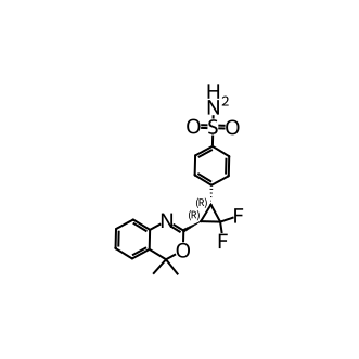 CC1(C)OC([C@H]2[C@H](c3ccc(S(N)(=O)=O)cc3)C2(F)F)=Nc2ccccc21